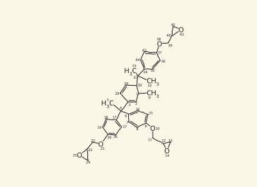 CC1C=C(C(C)(c2ccc(OCC3CO3)cc2)c2ccc(OCC3CO3)cc2)C=CC1C(C)(C)c1ccc(OCC2CO2)cc1